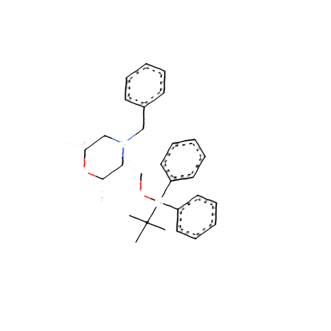 C[C@@H]1CN(Cc2ccccc2)[C@H](CO[Si](c2ccccc2)(c2ccccc2)C(C)(C)C)[C@H](C)O1